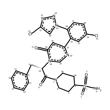 NS(=O)(=O)C1CCN(C(=O)[C@H](Cc2ccccc2)n2cnc(-c3cc(Cl)ccc3-n3cc(Cl)nn3)cc2=O)CC1